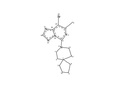 Cc1nc(N2CCC3(CCCC3)CC2)n2ncnc2c1Br